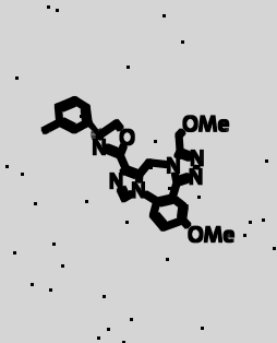 COCc1nnc2n1Cc1c(C3=N[C@@H](c4cccc(C)c4)CO3)ncn1-c1ccc(OC)cc1-2